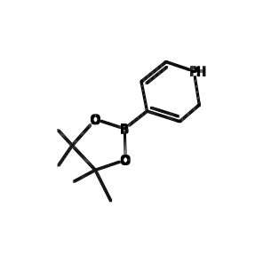 CC1(C)OB(C2=CCPC=C2)OC1(C)C